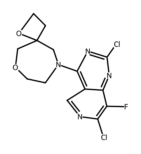 Fc1c(Cl)ncc2c(N3CCOCC4(CCO4)C3)nc(Cl)nc12